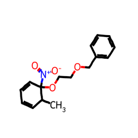 CC1C=CC=CC1(OCCOCc1ccccc1)[N+](=O)[O-]